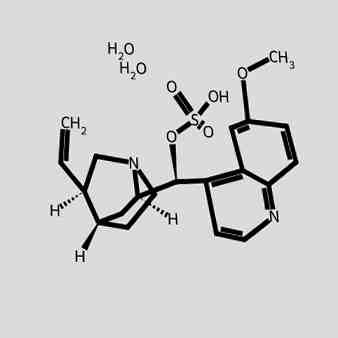 C=C[C@H]1CN2CC[C@H]1C[C@@H]2[C@@H](OS(=O)(=O)O)c1ccnc2ccc(OC)cc12.O.O